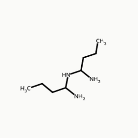 CCCC(N)NC(N)CCC